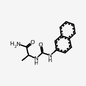 CC(NC(=O)Nc1ccc2ccccc2c1)C(N)=O